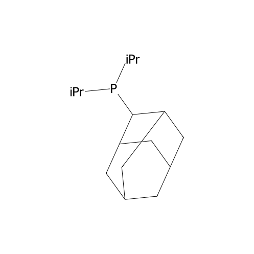 CC(C)P(C(C)C)C1C2CC3CC(C2)CC1C3